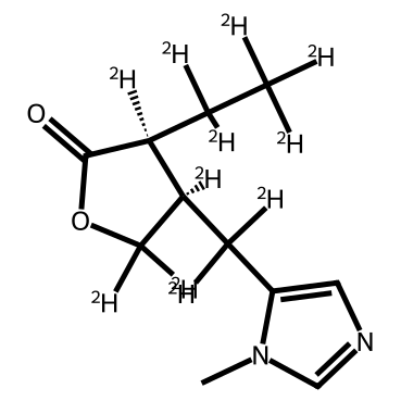 [2H]C([2H])([2H])C([2H])([2H])[C@]1([2H])C(=O)OC([2H])([2H])[C@]1([2H])C([2H])([2H])c1cncn1C